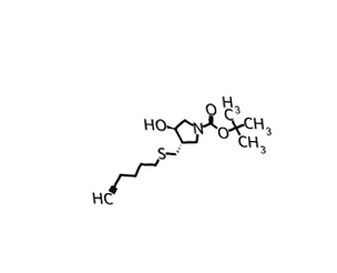 C#CCCCCSC[C@H]1CN(C(=O)OC(C)(C)C)C[C@@H]1O